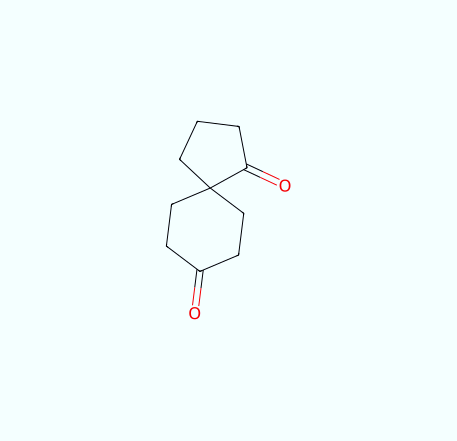 O=C1CCC2(CCCC2=O)CC1